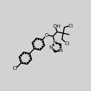 CC(CCl)(CCl)C(O)C(Oc1ccc(-c2ccc(Cl)cc2)cc1)n1cncn1